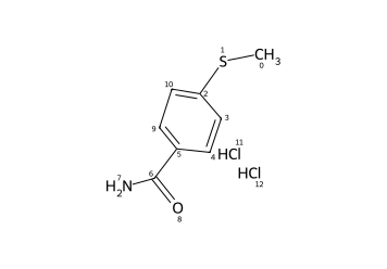 CSc1ccc(C(N)=O)cc1.Cl.Cl